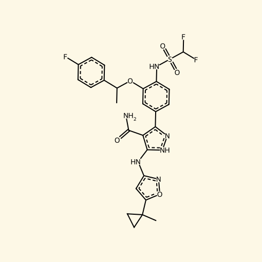 CC(Oc1cc(-c2n[nH]c(Nc3cc(C4(C)CC4)on3)c2C(N)=O)ccc1NS(=O)(=O)C(F)F)c1ccc(F)cc1